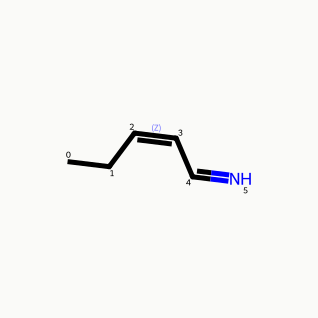 CC/C=C\C=N